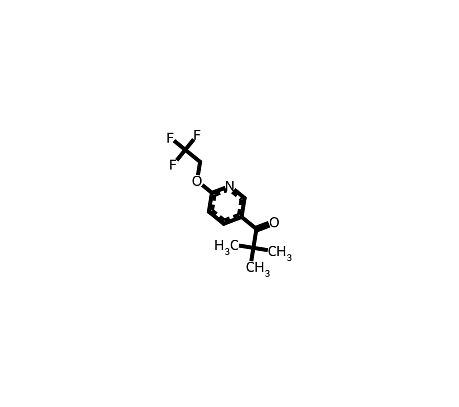 CC(C)(C)C(=O)c1ccc(OCC(F)(F)F)nc1